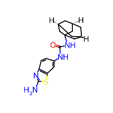 Nc1nc2ccc(NC(=O)NC34C[C@H]5C[C@H](C3)C[C@@H](C4)C5)cc2s1